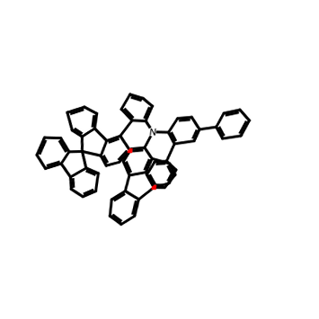 c1ccc(-c2ccc(N(c3ccccc3-c3cccc4c3-c3ccccc3C43c4ccccc4-c4ccccc43)c3ccc4c5c(cccc35)-c3ccccc3-4)c(-c3ccccc3)c2)cc1